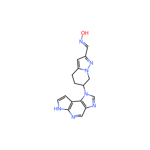 O/N=C/c1cc2n(n1)CC(n1cnc3cnc4[nH]ccc4c31)CC2